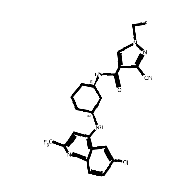 N#Cc1nn(CF)cc1C(=O)N[C@@H]1CCC[C@H](Nc2cc(C(F)(F)F)nc3ccc(Cl)cc23)C1